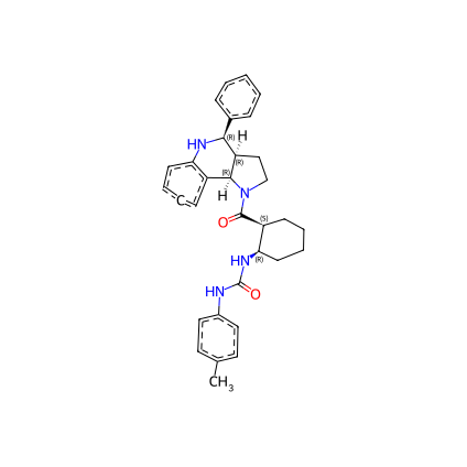 Cc1ccc(NC(=O)N[C@@H]2CCCC[C@@H]2C(=O)N2CC[C@@H]3[C@H](c4ccccc4)Nc4ccccc4[C@@H]32)cc1